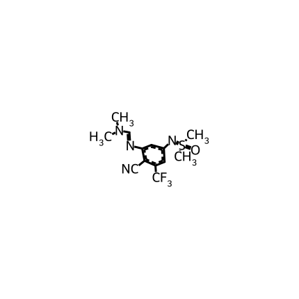 CN(C)/C=N/c1cc(N=S(C)(C)=O)cc(C(F)(F)F)c1C#N